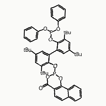 CC(C)(C)c1cc(-c2cc(C(C)(C)C)cc(C(C)(C)C)c2OP2OC(=O)c3ccc4ccccc4c3O2)c(OP(Oc2ccccc2)Oc2ccccc2)c(C(C)(C)C)c1